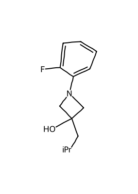 CC(C)CC1(O)CN(c2ccccc2F)C1